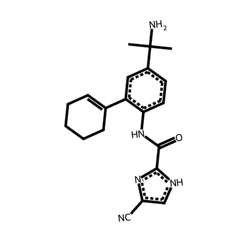 CC(C)(N)c1ccc(NC(=O)c2nc(C#N)c[nH]2)c(C2=CCCCC2)c1